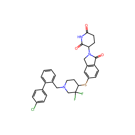 O=C1CCC(N2Cc3cc(SC4CCN(Cc5ccccc5-c5ccc(Cl)cc5)CC4(F)F)ccc3C2=O)C(=O)N1